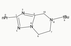 CCCc1nc2n(n1)CCN(C(C)(C)C)C2